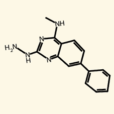 CNc1nc(NN)nc2cc(-c3ccccc3)ccc12